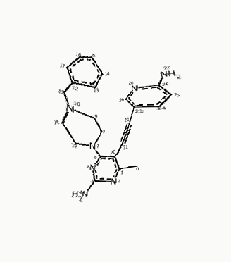 Cc1nc(N)nc(N2CCN(Cc3ccccc3)CC2)c1C#Cc1ccc(N)nc1